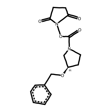 O=C(ON1C(=O)CCC1=O)N1CC[C@@H](OCc2ccccc2)C1